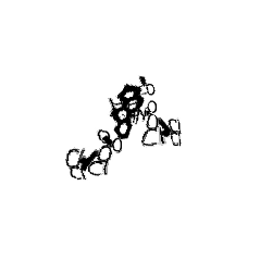 CC(=O)[C@H]1CC[C@H]2[C@@H]3CCC4CC(OC(=O)OCC(Cl)(Cl)Cl)CC[C@]4(C)[C@H]3C(NC(=O)OCC(Cl)(Cl)Cl)C[C@]12C